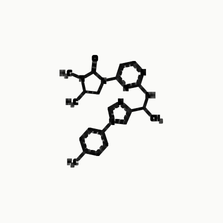 CC(Nc1nccc(N2CC(C)N(C)C2=O)n1)c1cn(-c2ccc(C(F)(F)F)cc2)cn1